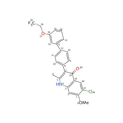 COc1cc2[nH]c(C)c(-c3ccc(-c4cccc(OCC(F)(F)F)c4)cc3)c(=O)c2cc1Cl